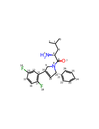 CC(C)C[C@H](N)C(=O)N1CC(c2cc(F)ccc2F)=C[C@H]1c1ccccc1